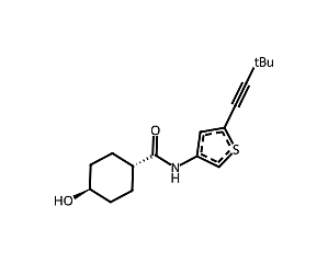 CC(C)(C)C#Cc1cc(NC(=O)[C@H]2CC[C@H](O)CC2)cs1